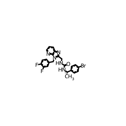 C[C@H](NC(=O)NCc1nc2cccnc2n1Cc1ccc(F)c(F)c1)c1ccc(Br)cc1